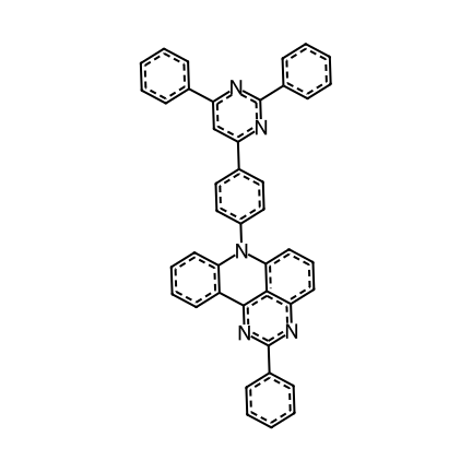 c1ccc(-c2cc(-c3ccc(N4c5ccccc5-c5nc(-c6ccccc6)nc6cccc4c56)cc3)nc(-c3ccccc3)n2)cc1